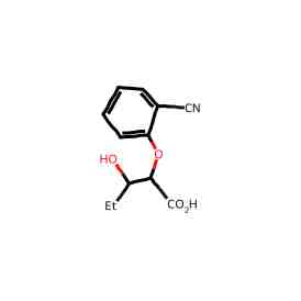 CCC(O)C(Oc1ccccc1C#N)C(=O)O